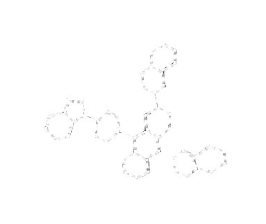 CCc1nc2ccccc2n1-c1ccc(-c2c3ccccc3c(-c3ccc4ccccc4c3)c3ccc(-c4ccc5ccccc5c4)cc23)cc1